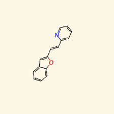 C(=Cc1cc2ccccc2o1)c1ccccn1